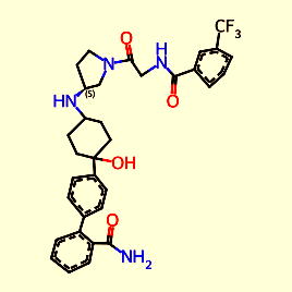 NC(=O)c1ccccc1-c1ccc(C2(O)CCC(N[C@H]3CCN(C(=O)CNC(=O)c4cccc(C(F)(F)F)c4)C3)CC2)cc1